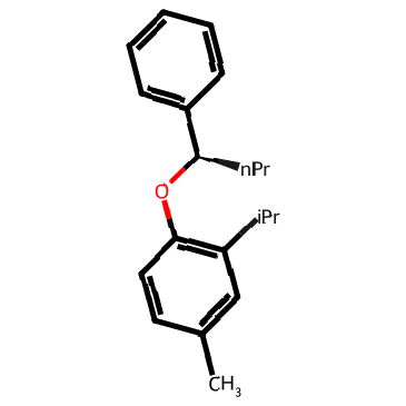 CCC[C@@H](Oc1ccc(C)cc1C(C)C)c1ccccc1